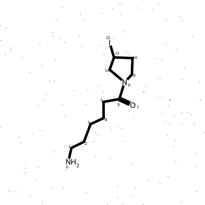 NCCCCCC(=O)N1CCC(I)C1